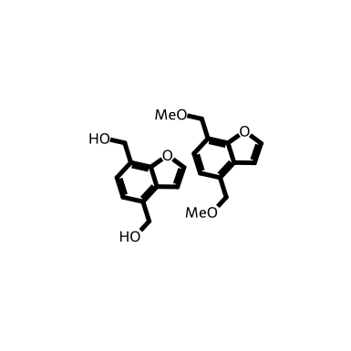 COCc1ccc(COC)c2occc12.OCc1ccc(CO)c2occc12